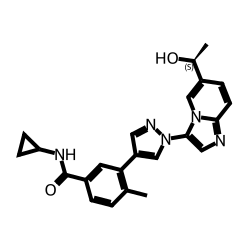 Cc1ccc(C(=O)NC2CC2)cc1-c1cnn(-c2cnc3ccc([C@H](C)O)cn23)c1